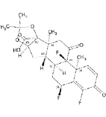 CC1(C)O[C@@H]2C[C@H]3[C@@H]4C[C@H](F)C5=C(F)C(=O)C=C[C@]5(C)[C@@]4(F)C(=O)C[C@]3(C)[C@]2(C(=O)O)O1